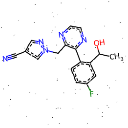 CC(O)c1cc(F)ccc1-c1nccnc1Cn1cc(C#N)cn1